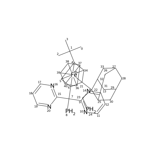 CC(C)(C)[C]12[CH]3[C]4(C(P)(c5ncccn5)c5ncccn5)[C]5(C6(CP)C7CC8CC(C7)CC6C8)[CH]1[Fe]32451678[CH]2[CH]1[CH]6[CH]7[CH]28